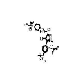 CCS(=O)(=O)[C@H]1CC[C@H](CNC(=O)c2nn(C)c(-c3ccc(CC(C)(C)C(F)(F)F)cc3OC(F)F)c2Cl)CC1